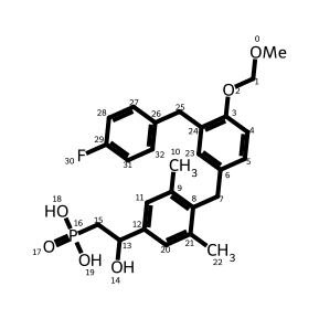 COCOc1ccc(Cc2c(C)cc(C(O)CP(=O)(O)O)cc2C)cc1Cc1ccc(F)cc1